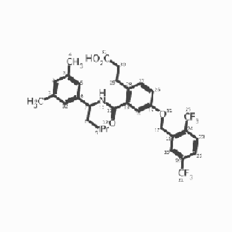 Cc1cc(C)cc(C(CC(C)C)NC(=O)c2cc(OCc3cc(C(F)(F)F)ccc3C(F)(F)F)ccc2CCC(=O)O)c1